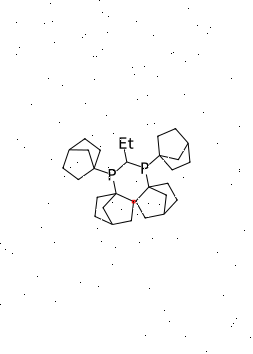 CCC(P(C12CCC(CC1)C2)C12CCC(CC1)C2)P(C12CCC(CC1)C2)C12CCC(CC1)C2